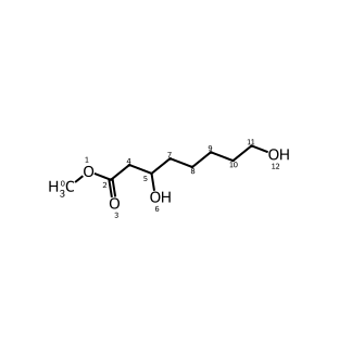 COC(=O)CC(O)CCCCCO